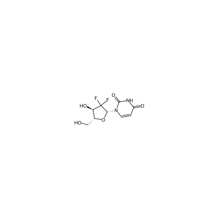 O=c1ccn([C@@H]2O[C@H](CO)[C@@H](O)C2(F)F)c(=O)[nH]1